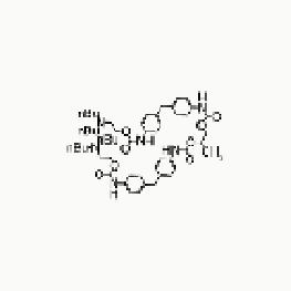 CCCCN(CCCC)CCOC(=O)Nc1ccc(Cc2ccc(NC(=O)OCC(C)OC(=O)Nc3ccc(Cc4ccc(NC(=O)OCCN(CCCC)CCCC)cc4)cc3)cc2)cc1